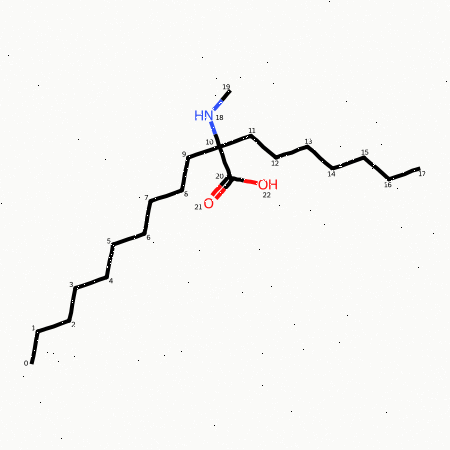 CCCCCCCCCCC(CCCCCCC)(NC)C(=O)O